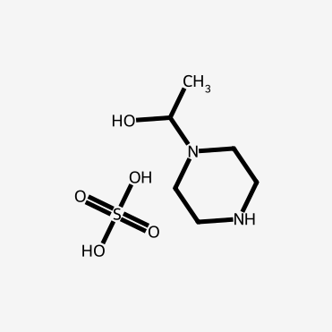 CC(O)N1CCNCC1.O=S(=O)(O)O